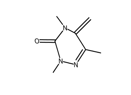 C=C1C(C)=NN(C)C(=O)N1C